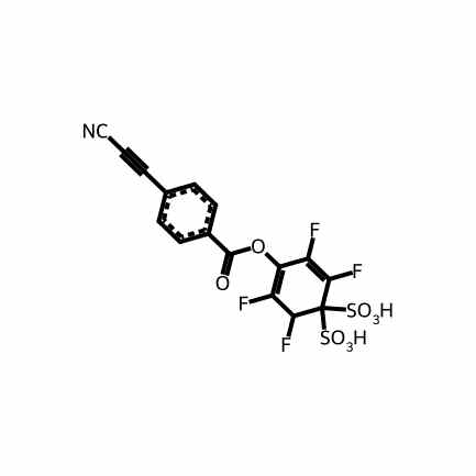 N#CC#Cc1ccc(C(=O)OC2=C(F)C(F)C(S(=O)(=O)O)(S(=O)(=O)O)C(F)=C2F)cc1